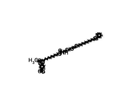 CCOP(=O)(CCCCCCCCCCCOC(=O)NCCOCCOCCOCCCCCCCCCCCSSc1ccccn1)Oc1ccc([N+](=O)[O-])cc1